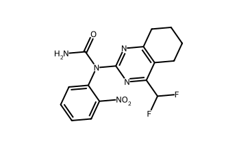 NC(=O)N(c1nc2c(c(C(F)F)n1)CCCC2)c1ccccc1[N+](=O)[O-]